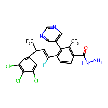 NNC(=O)c1ccc(C(F)=CC(c2cc(Cl)c(Cl)c(Cl)c2)C(F)(F)F)c(-c2cncnc2)c1C(F)(F)F